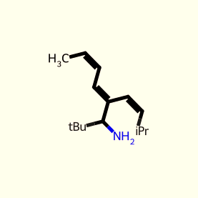 C\C=C/C=C(\C=C/C(C)C)C(N)C(C)(C)C